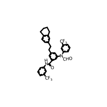 O=CN(c1cc(CCc2ccc3c(c2)CCCC3)cc(C(=O)Nc2cccc(C(F)(F)F)c2)c1)c1cccc(C(F)(F)F)c1